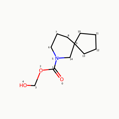 O=C(OCO)N1CCCC2(CCCC2)C1